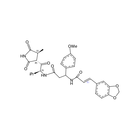 COc1ccc(C(CC(=O)N[C@H](C(=O)[C@@H]2C(=O)NC(=O)[C@H]2C)C(C)C)NC(=O)/C=C/c2ccc3c(c2)OCO3)cc1